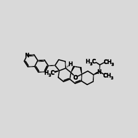 CC(C)N(C)[C@H]1CCC2=CC3=CC[C@]4(C)C(c5ccc6ccncc6c5)CC[C@H]4[C@@]34CC[C@]2(C1)O4